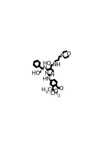 CC1(C)OC(=O)c2ccc(Nc3ncc(C(=O)NCCCN4CCOCC4)c(N[C@H](CO)c4ccccc4)n3)cc21